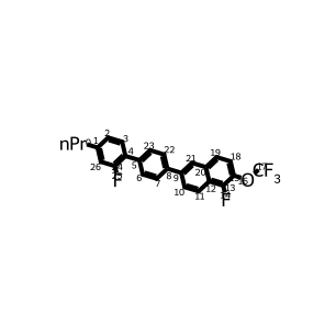 CCCc1ccc(-c2ccc(-c3ccc4c(F)c(OC(F)(F)F)ccc4c3)cc2)c(F)c1